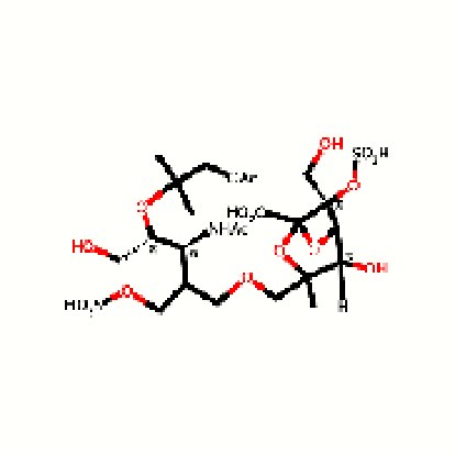 CC(=O)N[C@@H](C(COCC1(C)OC2(C(=O)O)OC([C@@H]1O)[C@@]2(CO)OS(=O)(=O)O)COS(=O)(=O)O)[C@H](CO)OC(C)(C)COC(C)=O